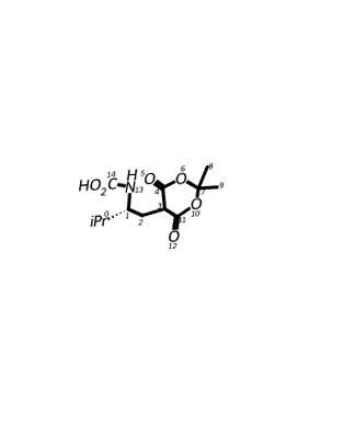 CC(C)[C@@H](CC1C(=O)OC(C)(C)OC1=O)NC(=O)O